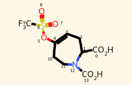 O=C(O)C1CC=C(OS(=O)(=O)C(F)(F)F)CCN1C(=O)O